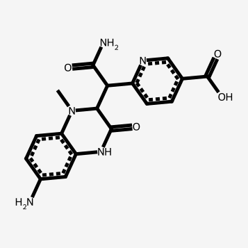 CN1c2ccc(N)cc2NC(=O)C1C(C(N)=O)c1ccc(C(=O)O)cn1